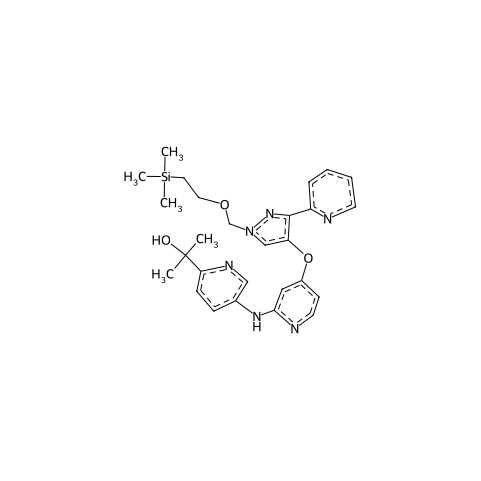 CC(C)(O)c1ccc(Nc2cc(Oc3cn(COCC[Si](C)(C)C)nc3-c3ccccn3)ccn2)cn1